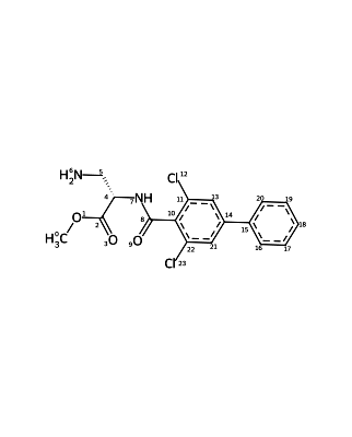 COC(=O)[C@H](CN)NC(=O)c1c(Cl)cc(-c2ccccc2)cc1Cl